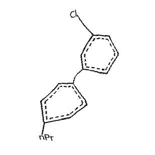 [CH2]CCc1ccc(-c2cccc(Cl)c2)cc1